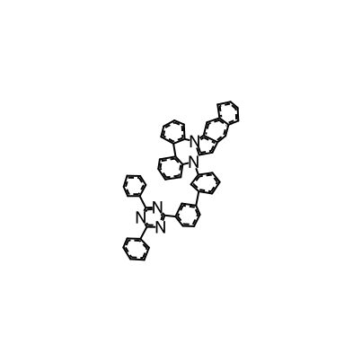 c1ccc(-c2nc(-c3ccccc3)nc(-c3cccc(-c4cccc(N5c6ccccc6-c6ccccc6-n6c5cc5cc7ccccc7cc56)c4)c3)n2)cc1